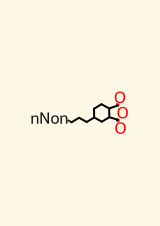 CCCCCCCCCCCCC1CCC2C(=O)OC(=O)C2C1